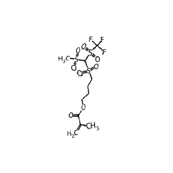 C=C(C)C(=O)OCCCCS(=O)(=O)C(S(C)(=O)=O)S(=O)(=O)C(F)(F)F